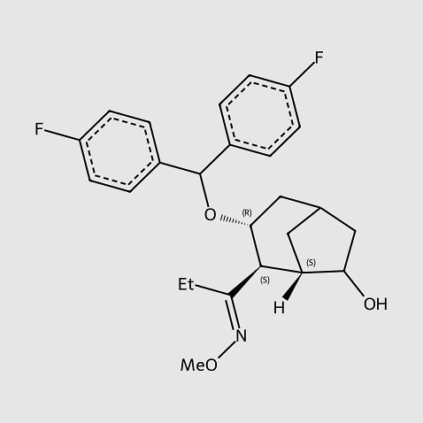 CCC(=NOC)[C@@H]1[C@@H]2CC(CC2O)C[C@H]1OC(c1ccc(F)cc1)c1ccc(F)cc1